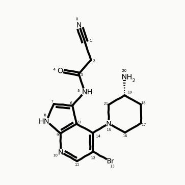 N#CCC(=O)Nc1c[nH]c2ncc(Br)c(N3CCC[C@@H](N)C3)c12